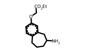 CCOC(=O)COc1ccc2c(c1)CC(N)CCC2